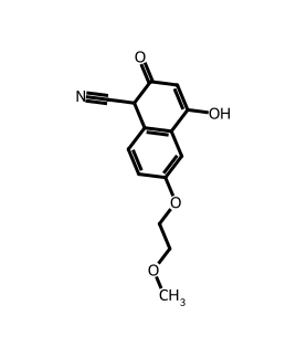 COCCOc1ccc2c(c1)C(O)=CC(=O)C2C#N